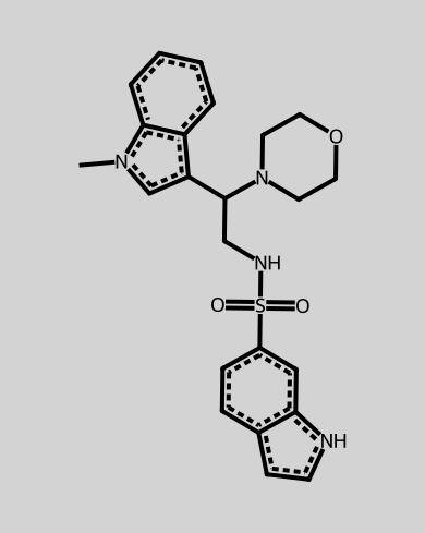 Cn1cc(C(CNS(=O)(=O)c2ccc3cc[nH]c3c2)N2CCOCC2)c2ccccc21